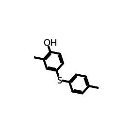 Cc1ccc(Sc2ccc(O)c(C)c2)cc1